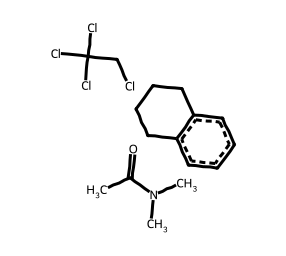 CC(=O)N(C)C.ClCC(Cl)(Cl)Cl.c1ccc2c(c1)CCCC2